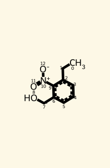 CCc1cccc([CH]O)c1[N+](=O)[O-]